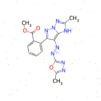 COC(=O)c1ccccc1-c1nn2nc(C)[nH]c2c1/N=N/c1nnc(C)o1